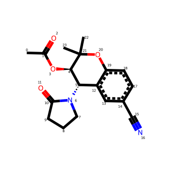 CC(=O)O[C@@H]1[C@@H](N2CCCC2=O)c2cc(C#N)ccc2OC1(C)C